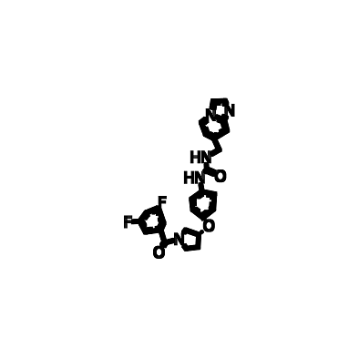 O=C(NCc1ccn2ccnc2c1)Nc1ccc(O[C@@H]2CCN(C(=O)c3cc(F)cc(F)c3)C2)cc1